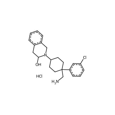 Cl.NCC1(c2cccc(Cl)c2)CCC(N2Cc3ccccc3CC2O)CC1